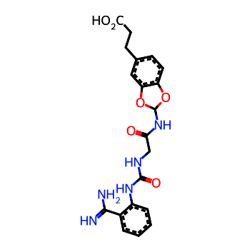 N=C(N)c1ccccc1NC(=O)NCC(=O)NC1Oc2ccc(CCC(=O)O)cc2O1